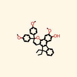 CCC1(CC)c2ccccc2-c2c1c1c(c3cc(OC)c(O)cc23)OC(c2ccc(OC)cc2)(c2ccc(OC)cc2)C=C1